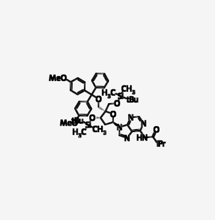 COc1ccc(C(OC[C@]2(CO[Si](C)(C)C(C)(C)C)O[C@@H](n3cnc4c(NC(=O)C(C)C)ncnc43)C[C@@H]2O[Si](C)(C)C(C)(C)C)(c2ccccc2)c2ccc(OC)cc2)cc1